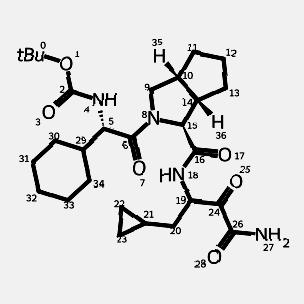 CC(C)(C)OC(=O)N[C@H](C(=O)N1C[C@@H]2CCC[C@@H]2[C@H]1C(=O)NC(CC1CC1)C(=O)C(N)=O)C1CCCCC1